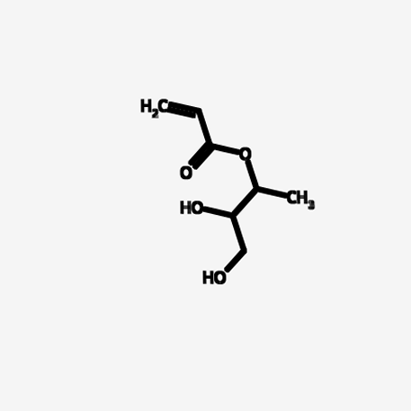 C=CC(=O)OC(C)C(O)CO